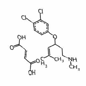 CNCCC(C=C(C)C)Oc1ccc(Cl)c(Cl)c1.O=C(O)/C=C/C(=O)O